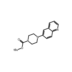 CC(C)(C)OC(=O)N1CCN(c2ccc3ncccc3c2)CC1